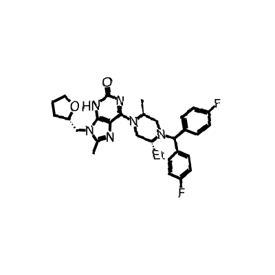 CC[C@@H]1CN(c2nc(=O)[nH]c3c2nc(C)n3C[C@@H]2CCCO2)[C@@H](C)CN1C(c1ccc(F)cc1)c1ccc(F)cc1